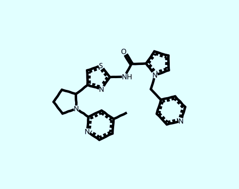 Cc1ccnc(N2CCCC2c2csc(NC(=O)c3cccn3Cc3ccncc3)n2)c1